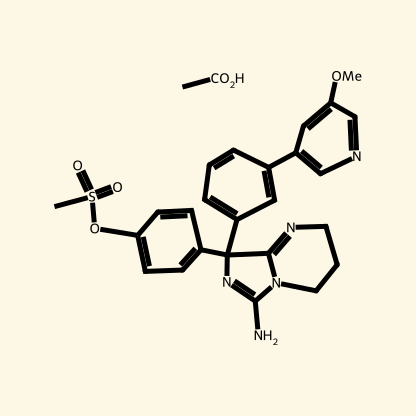 CC(=O)O.COc1cncc(-c2cccc(C3(c4ccc(OS(C)(=O)=O)cc4)N=C(N)N4CCCN=C43)c2)c1